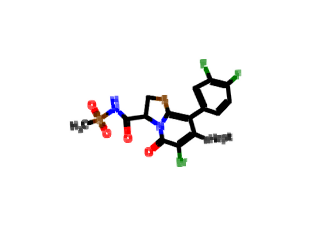 CCCCCCCc1c(-c2ccc(F)c(F)c2)c2n(c(=O)c1Br)C(C(=O)NS(C)(=O)=O)CS2